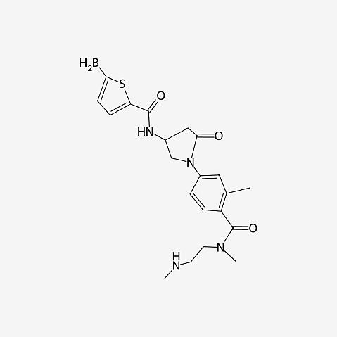 Bc1ccc(C(=O)NC2CC(=O)N(c3ccc(C(=O)N(C)CCNC)c(C)c3)C2)s1